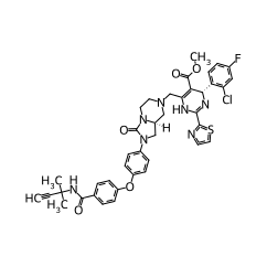 C#CC(C)(C)NC(=O)c1ccc(Oc2ccc(N3C[C@@H]4CN(CC5=C(C(=O)OC)[C@H](c6ccc(F)cc6Cl)N=C(c6nccs6)N5)CCN4C3=O)cc2)cc1